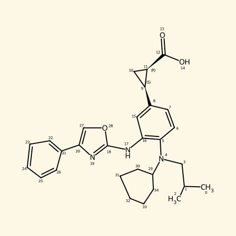 CC(C)CN(c1ccc([C@H]2C[C@H]2C(=O)O)cc1Nc1nc(-c2ccccc2)co1)C1CCCCC1